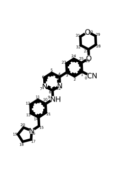 N#Cc1cc(-c2ccnc(Nc3cccc(CN4CCCC4)c3)n2)ccc1OC1CCOCC1